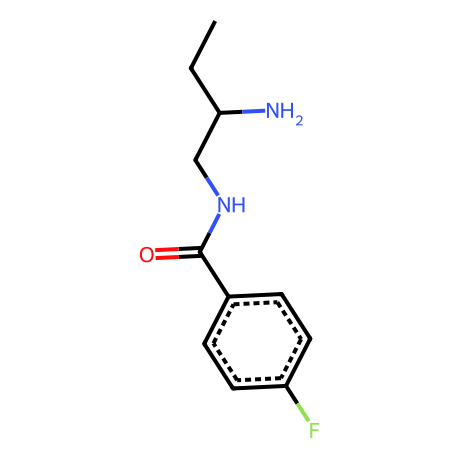 CCC(N)CNC(=O)c1ccc(F)cc1